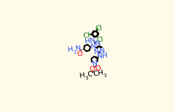 CC(C)OC(=O)N1CCC[C@@H](Nc2ncc3nc(Nc4c(Cl)cc(Cl)cc4Cl)n([C@H]4CC[C@@H](C(N)=O)CC4)c3n2)C1